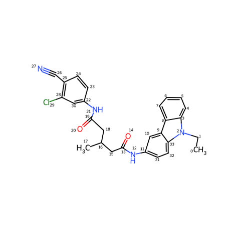 CCn1c2ccccc2c2cc(NC(=O)CC(C)CC(=O)Nc3ccc(C#N)c(Cl)c3)ccc21